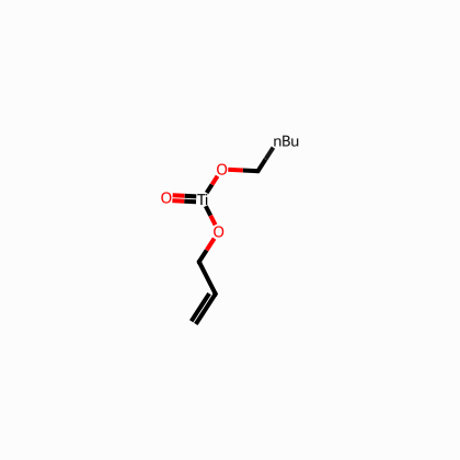 C=CC[O][Ti](=[O])[O]CCCCC